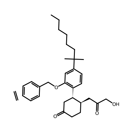 C=C.CCCCCCC(C)(C)c1ccc([C@H]2CC(=O)CC[C@@H]2CC(=O)CO)c(OCc2ccccc2)c1